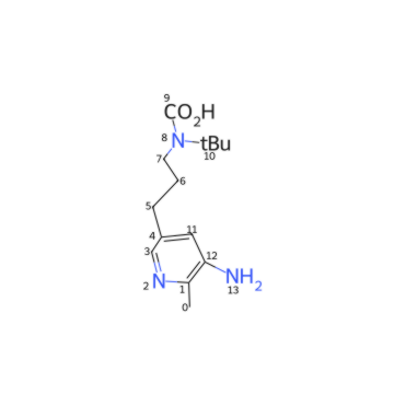 Cc1ncc(CCCN(C(=O)O)C(C)(C)C)cc1N